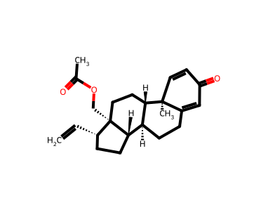 C=C[C@H]1CC[C@H]2[C@@H]3CCC4=CC(=O)C=C[C@]4(C)[C@H]3CC[C@]12COC(C)=O